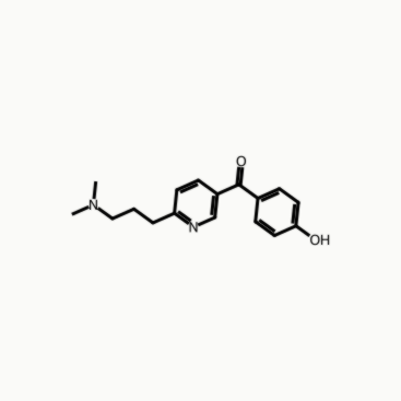 CN(C)CCCc1ccc(C(=O)c2ccc(O)cc2)cn1